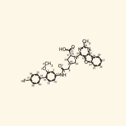 COc1cc(NC(=O)C[C@H]2C[C@@H](C(=O)O)N(c3nc(C)nc4c3oc3ccccc34)C2)ccc1-c1ccc(F)cc1